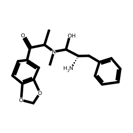 CC(C(=O)c1ccc2c(c1)OCO2)N(C)C(O)[C@@H](N)Cc1ccccc1